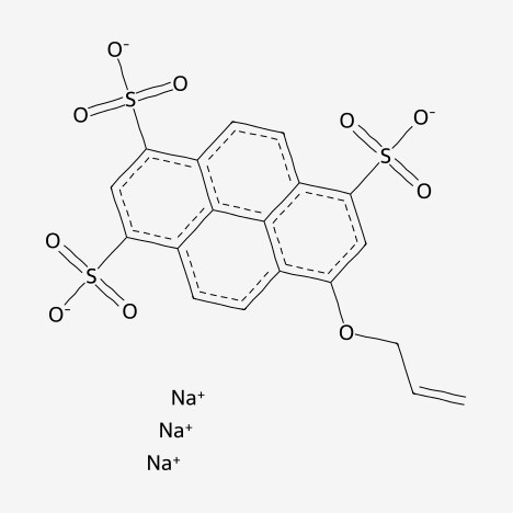 C=CCOc1cc(S(=O)(=O)[O-])c2ccc3c(S(=O)(=O)[O-])cc(S(=O)(=O)[O-])c4ccc1c2c43.[Na+].[Na+].[Na+]